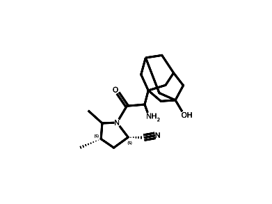 CC1[C@@H](C)C[C@@H](C#N)N1C(=O)C(N)C12CC3CC(CC(O)(C3)C1)C2